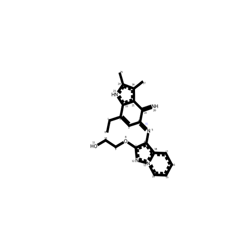 CCC1=C/C(=N\c2c(OCCO)nn3ccccc23)C(=N)c2c1[nH]c(C)c2C